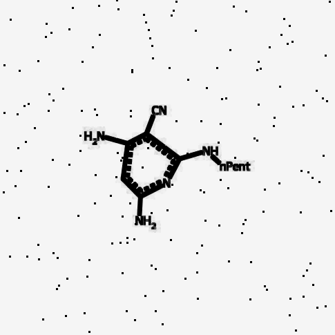 CCCCCNc1nc(N)cc(N)c1C#N